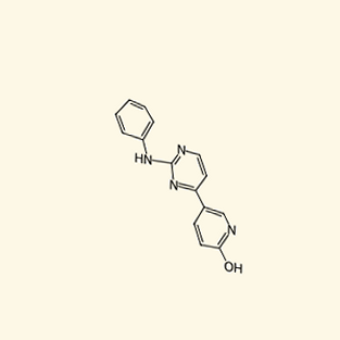 Oc1ccc(-c2ccnc(Nc3ccccc3)n2)cn1